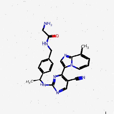 Cc1cccn2c(-c3nc(N[C@@H](C)c4ccc(CNC(=O)CN)cc4)ncc3C#N)cnc12